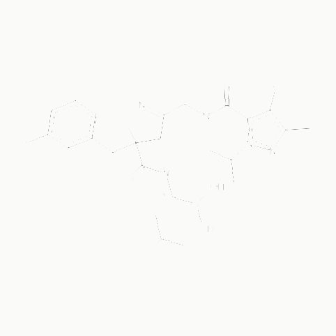 Cc1cccc(CC2(C(=O)N[C@@H](CC(C)C)B(O)O)CC(CNC(=O)c3c(Cl)c(C)nn3C(C)C)=NO2)c1